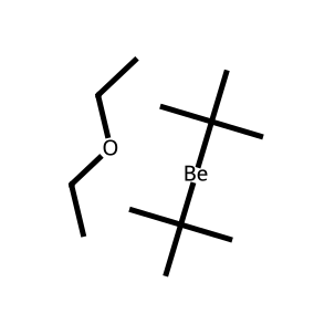 CCOCC.C[C](C)(C)[Be][C](C)(C)C